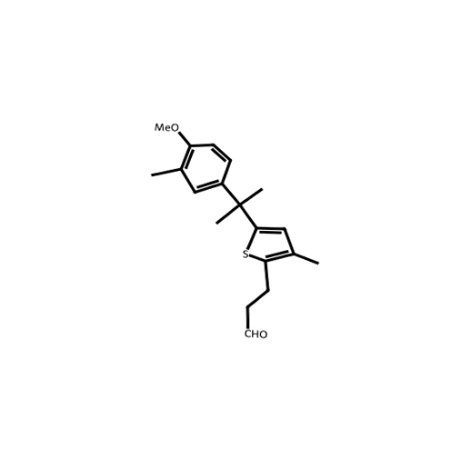 COc1ccc(C(C)(C)c2cc(C)c(CCC=O)s2)cc1C